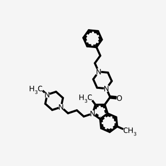 Cc1ccc2c(c1)c(C(=O)N1CCN(CCc3ccccc3)CC1)c(C)n2CCCN1CCN(C)CC1